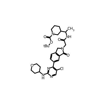 CC(NC(=O)CN1Cc2ccc(-c3nc(NC4CCOCC4)ncc3Cl)cc2C1=O)C1CCCN(C(=O)OC(C)(C)C)C1